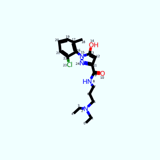 CCN(CC)CCCNC(=O)c1cc(O)n(-c2c(C)cccc2Cl)n1